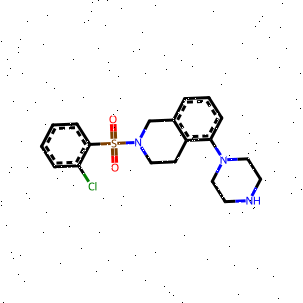 O=S(=O)(c1ccccc1Cl)N1CCc2c(cccc2N2CCNCC2)C1